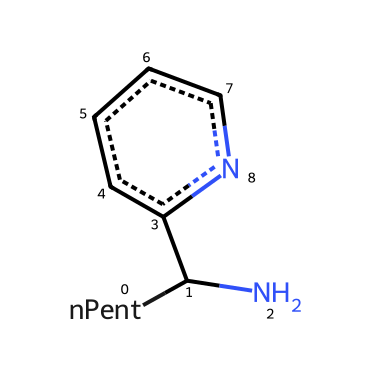 CCCCCC(N)c1ccccn1